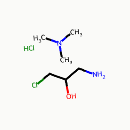 CN(C)C.Cl.NCC(O)CCl